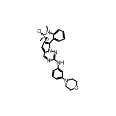 CN(c1ccccc1-c1ccc2cnc(Nc3cccc(N4CCOCC4)c3)nn12)S(C)(=O)=O